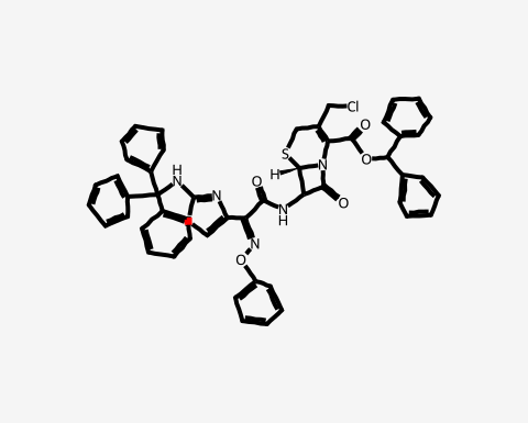 O=C(NC1C(=O)N2C(C(=O)OC(c3ccccc3)c3ccccc3)=C(CCl)CS[C@@H]12)C(=NOc1ccccc1)c1csc(NC(c2ccccc2)(c2ccccc2)c2ccccc2)n1